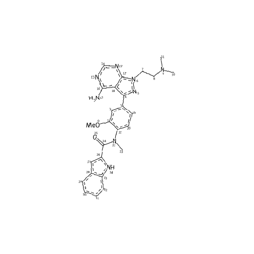 COc1cc(-c2nn(CCN(C)C)c3ncnc(N)c23)ccc1N(C)C(=O)c1cc2ccccc2[nH]1